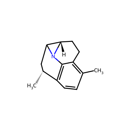 Cc1ccc2c3c1CC[C@H]1C(C[C@H]2C)N31